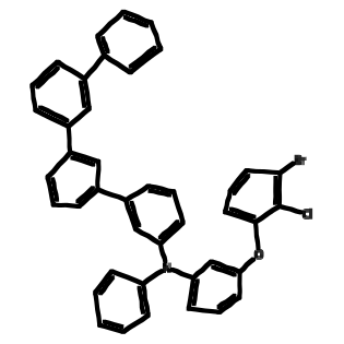 Clc1c(Br)cccc1Oc1cccc(N(c2ccccc2)c2cccc(-c3cccc(-c4cccc(-c5ccccc5)c4)c3)c2)c1